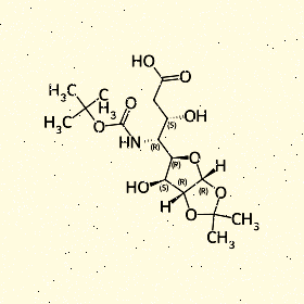 CC(C)(C)OC(=O)N[C@@H]([C@H]1O[C@@H]2OC(C)(C)O[C@@H]2[C@H]1O)[C@@H](O)CC(=O)O